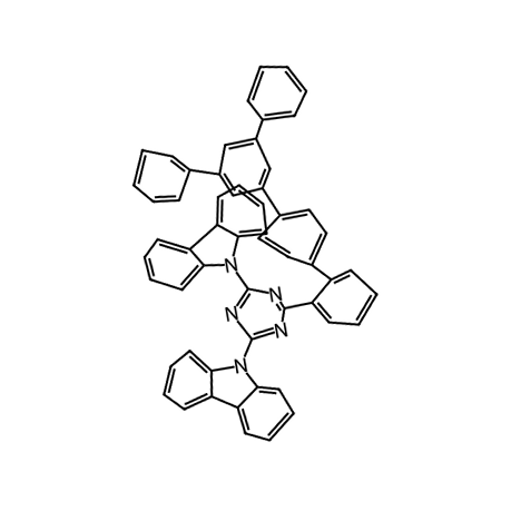 c1ccc(-c2cc(-c3ccccc3)cc(-c3ccc(-c4ccccc4-c4nc(-n5c6ccccc6c6ccccc65)nc(-n5c6ccccc6c6ccccc65)n4)cc3)c2)cc1